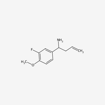 C=CCC(N)c1ccc(OC)c(F)c1